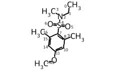 CCN(C)S(=O)(=O)c1c(C)cc(OC)cc1C